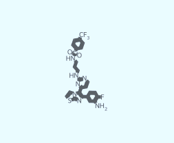 Nc1cc(-c2nc3sccn3c2-c2ccnc(NCCCNS(=O)(=O)c3ccc(C(F)(F)F)cc3)n2)ccc1F